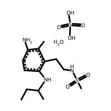 CCC(C)Nc1ccc(N)c(C)c1CCNS(C)(=O)=O.O.O=S(=O)(O)O